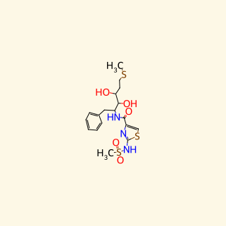 CSCCC(O)C(O)C(Cc1ccccc1)NC(=O)c1csc(NS(C)(=O)=O)n1